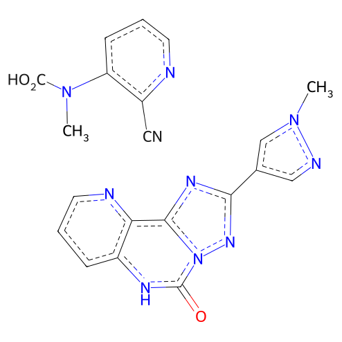 CN(C(=O)O)c1cccnc1C#N.Cn1cc(-c2nc3c4ncccc4[nH]c(=O)n3n2)cn1